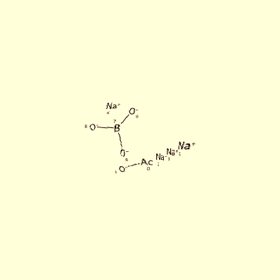 CC(=O)[O-].[Na+].[Na+].[Na+].[Na+].[O-]B([O-])[O-]